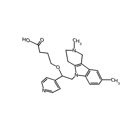 Cc1ccc2c(c1)c1c(n2CC(OCCCC(=O)O)c2ccncc2)CCN(C)C1